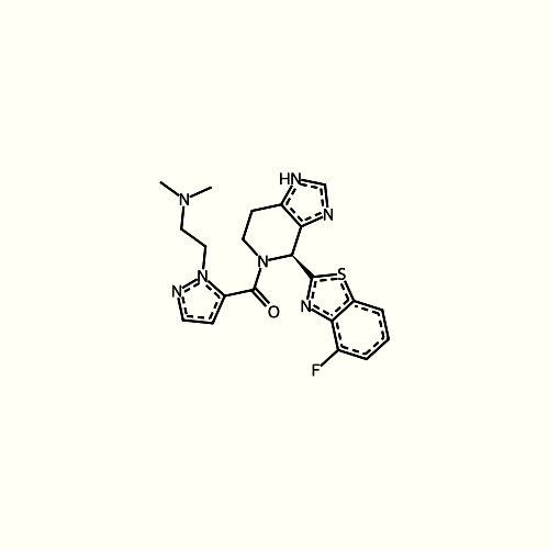 CN(C)CCn1nccc1C(=O)N1CCc2[nH]cnc2[C@H]1c1nc2c(F)cccc2s1